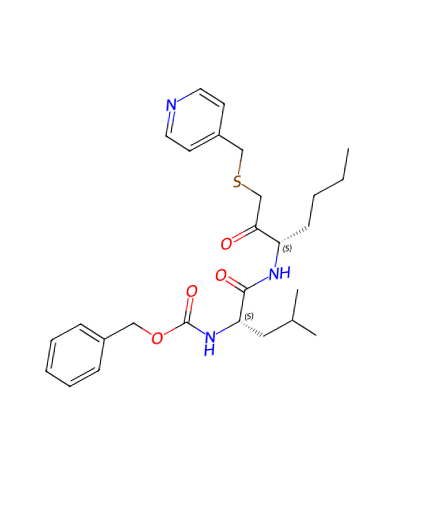 CCCC[C@H](NC(=O)[C@H](CC(C)C)NC(=O)OCc1ccccc1)C(=O)CSCc1ccncc1